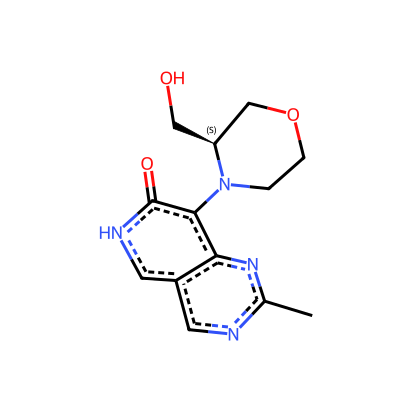 Cc1ncc2c[nH]c(=O)c(N3CCOC[C@@H]3CO)c2n1